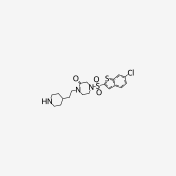 O=C1CN(S(=O)(=O)c2cc3ccc(Cl)cc3s2)CCN1CCC1CCNCC1